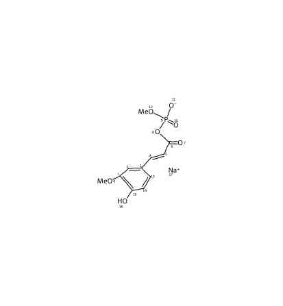 COc1cc(C=CC(=O)OP(=O)([O-])OC)ccc1O.[Na+]